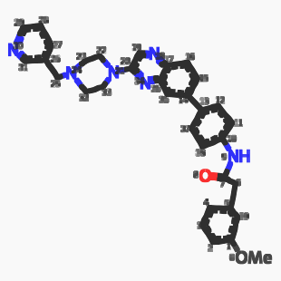 COc1cccc(CC(=O)Nc2ccc(-c3ccc4ncc(N5CCN(Cc6cccnc6)CC5)nc4c3)cc2)c1